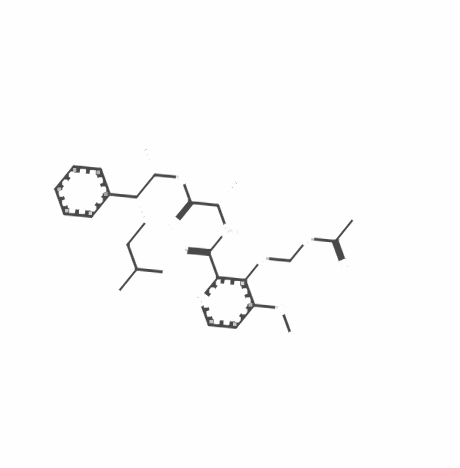 COc1ccnc(C(=O)N[C@@H](C)C(=O)O[C@@H](C)[C@H](CCC(C)C)c2ccccc2)c1OCOC(C)=O